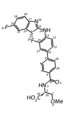 COC[C@H](NC(=O)c1ccc(-c2ccc(Nc3nc4ccc(F)cc4s3)c(F)c2)cc1)C(=O)O